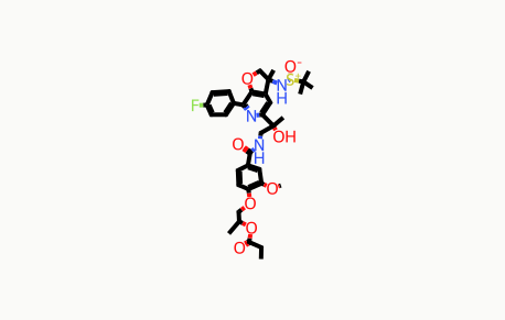 CCC(=O)OC(C)COc1ccc(C(=O)NCC(C)(O)c2cc3c(c(-c4ccc(F)cc4)n2)OCC3(C)N[S+]([O-])C(C)(C)C)cc1OC